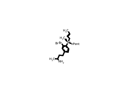 C=C[N+](CC=CC)(CCCCC)c1ccc(CCC(C)N)cc1Br.[Br-]